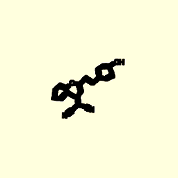 N#CC(C#N)=C1C=C(C=Cc2ccc(O)cc2)Oc2ccccc21